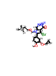 COc1ccc(-c2c(Br)c3c(=O)[nH]ncc3n2COCC[Si](C)(C)C)cc1OC1CC1